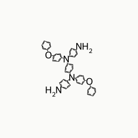 Nc1ccc(N(c2ccc(Oc3ccccc3)cc2)c2ccc(N(c3ccc(N)cc3)c3ccc(Oc4ccccc4)cc3)cc2)cc1